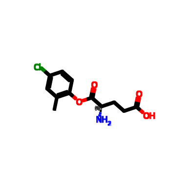 Cc1cc(Cl)ccc1OC(=O)[C@@H](N)CCC(=O)O